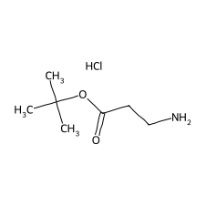 CC(C)(C)OC(=O)CCN.Cl